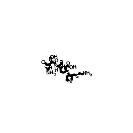 NCCSCc1cnccc1SC1=C(C(=O)O)N2C(=O)C(NC(=O)/C(=N\O)c3nc(N)sc3Cl)C2CC1